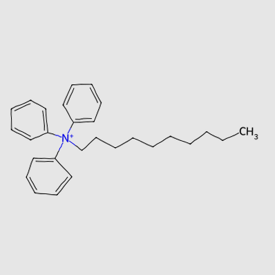 CCCCCCCCCC[N+](c1ccccc1)(c1ccccc1)c1ccccc1